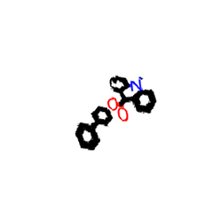 CN1c2ccccc2C(C(=O)Oc2ccc(-c3ccccc3)cc2)c2ccccc21